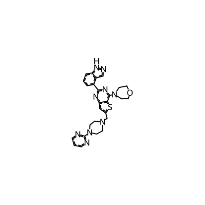 c1cnc(N2CCN(Cc3cc4nc(-c5cccc6[nH]ncc56)nc(N5CCOCC5)c4s3)CC2)nc1